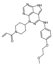 C=CC(=O)N1CCC(N2N=C(Nc3ccc(OCCOC)cc3)c3c[nH]c4ncnc2c34)CC1